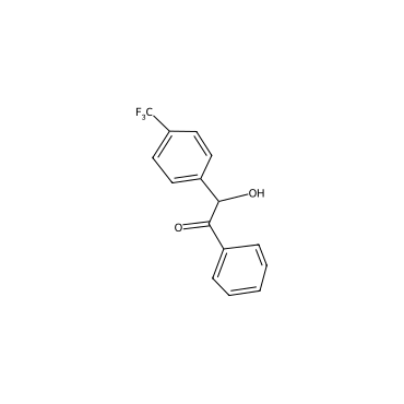 O=C(c1ccccc1)C(O)c1ccc(C(F)(F)F)cc1